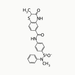 CC1Sc2ccc(C(=O)Nc3ccc([S+]([O-])N(C)c4ccccc4)cc3)cc2NC1=O